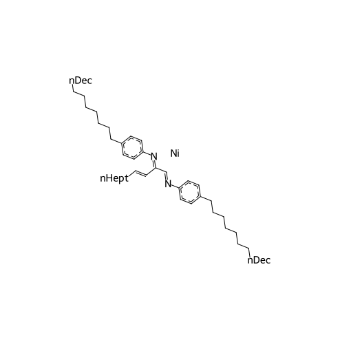 CCCCCCC/C=C/C(/C=N/c1ccc(CCCCCCCCCCCCCCCCC)cc1)=N\c1ccc(CCCCCCCCCCCCCCCCC)cc1.[Ni]